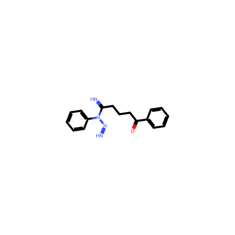 N=NN(C(=N)CCCC(=O)c1ccccc1)c1ccccc1